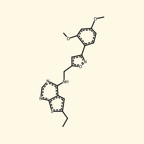 CCc1cc2c(NCc3cc(-c4ccc(OC)cc4OC)no3)ncnc2s1